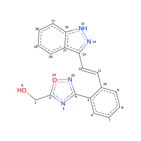 OCc1nc(-c2ccccc2/C=C/c2n[nH]c3ccccc23)no1